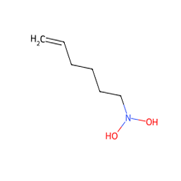 C=CCCCCN(O)O